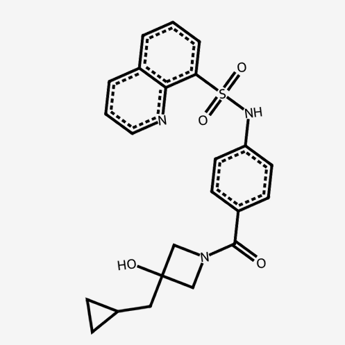 O=C(c1ccc(NS(=O)(=O)c2cccc3cccnc23)cc1)N1CC(O)(CC2CC2)C1